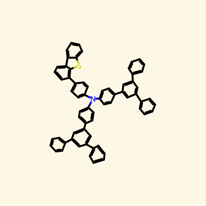 c1ccc(-c2cc(-c3ccccc3)cc(-c3ccc(N(c4ccc(-c5cc(-c6ccccc6)cc(-c6ccccc6)c5)cc4)c4ccc(-c5cccc6c5sc5ccccc56)cc4)cc3)c2)cc1